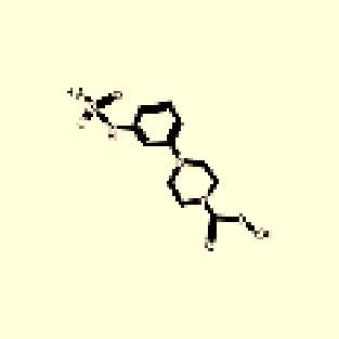 CC(C)(C)OC(=O)N1CCN(c2cccc(NS(C)(=O)=O)c2)CC1